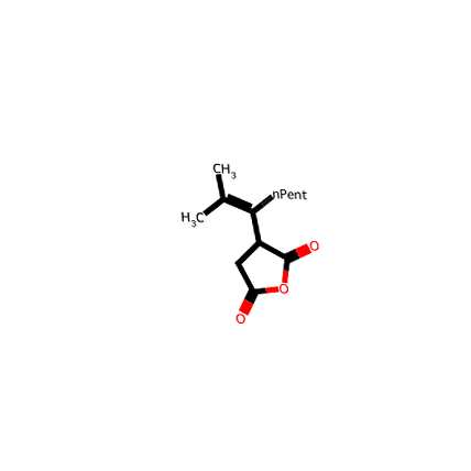 CCCCCC(=C(C)C)C1CC(=O)OC1=O